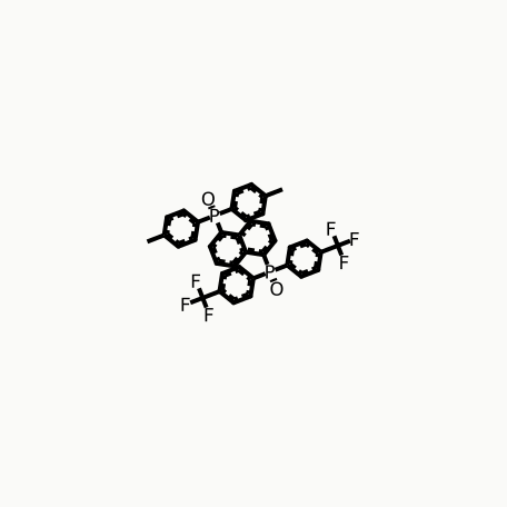 Cc1ccc(P(=O)(c2ccc(C)cc2)c2cccc3c(P(=O)(c4ccc(C(F)(F)F)cc4)c4ccc(C(F)(F)F)cc4)cccc23)cc1